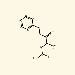 CC(I)CC(C(=O)OCc1ccccc1)C(C)C